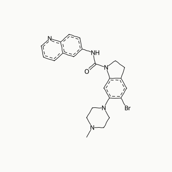 CN1CCN(c2cc3c(cc2Br)CCN3C(=O)Nc2ccc3ncccc3c2)CC1